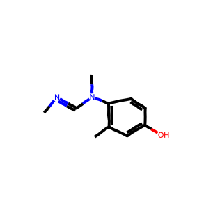 CN=CN(C)c1ccc(O)cc1C